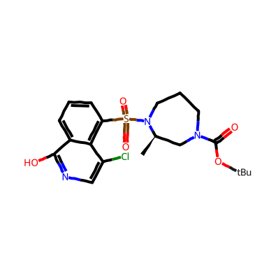 C[C@@H]1CN(C(=O)OC(C)(C)C)CCCN1S(=O)(=O)c1cccc2c(O)ncc(Cl)c12